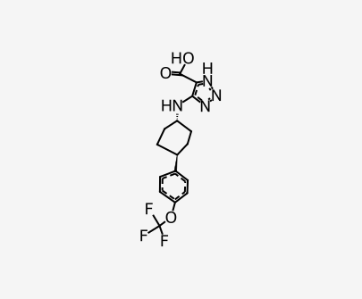 O=C(O)c1[nH]nnc1N[C@H]1CC[C@H](c2ccc(OC(F)(F)F)cc2)CC1